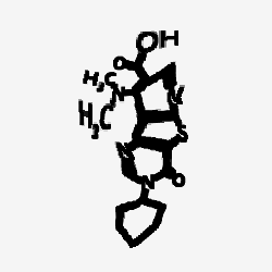 CN(C)c1c(C(=O)O)cnc2sc3c(=O)n(C4CCCCC4)cnc3c12